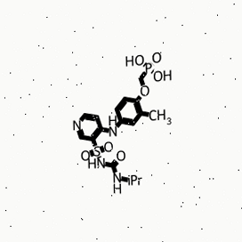 Cc1cc(Nc2ccncc2S(=O)(=O)NC(=O)NC(C)C)ccc1OCP(=O)(O)O